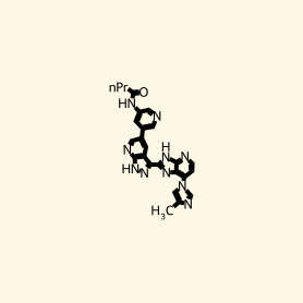 CCCC(=O)Nc1cncc(-c2cnc3[nH]nc(-c4nc5c(-n6cnc(C)c6)ccnc5[nH]4)c3c2)c1